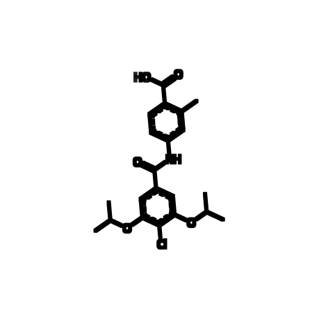 Cc1cc(NC(=O)c2cc(OC(C)C)c(Cl)c(OC(C)C)c2)ccc1C(=O)O